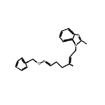 C/C(=C\Cn1c(C)nc2ccccc21)CCC=NOCc1ccccc1